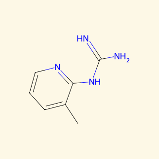 Cc1cccnc1NC(=N)N